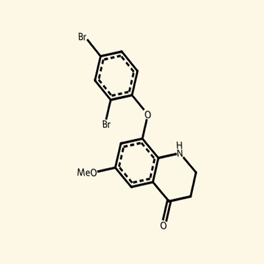 COc1cc(Oc2ccc(Br)cc2Br)c2c(c1)C(=O)CCN2